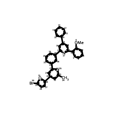 COc1ccccc1-c1cc(-c2ccccc2)cc(-c2cccc(-c3cc(-c4ccc(Br)o4)cc(C)n3)c2)n1